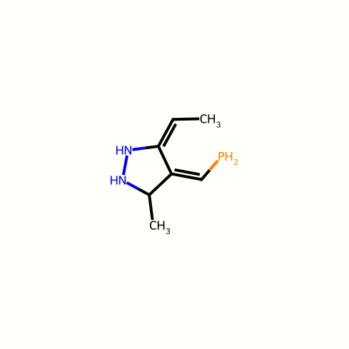 C/C=C1/NNC(C)/C1=C/P